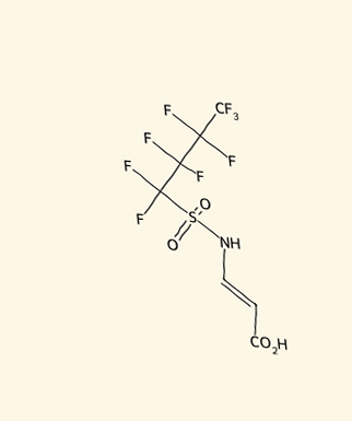 O=C(O)C=CNS(=O)(=O)C(F)(F)C(F)(F)C(F)(F)C(F)(F)F